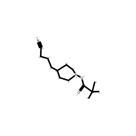 CC(C)(C)C(=O)ON1CCC(CCCC#N)CC1